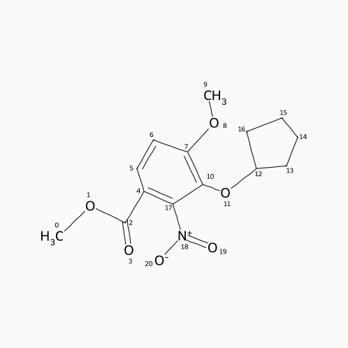 COC(=O)c1ccc(OC)c(OC2CCCC2)c1[N+](=O)[O-]